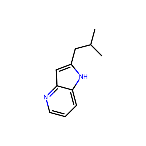 CC(C)Cc1cc2ncccc2[nH]1